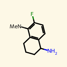 CNc1c(F)ccc2c1CCCC2N